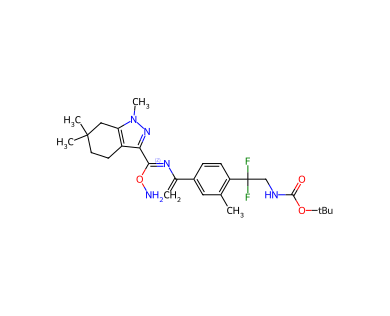 C=C(/N=C(\ON)c1nn(C)c2c1CCC(C)(C)C2)c1ccc(C(F)(F)CNC(=O)OC(C)(C)C)c(C)c1